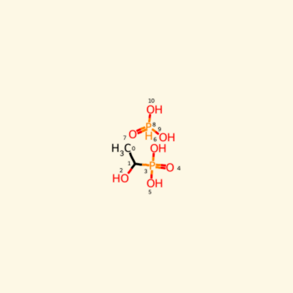 CC(O)P(=O)(O)O.O=[PH](O)O